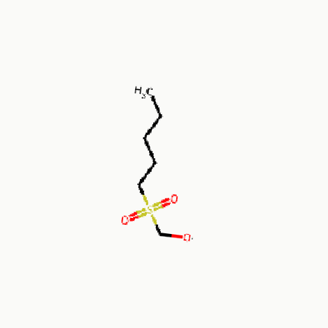 CCCCCS(=O)(=O)C[O]